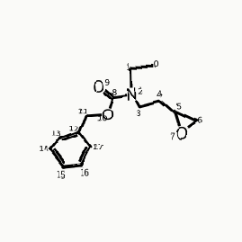 CCN(CCC1CO1)C(=O)OCc1ccccc1